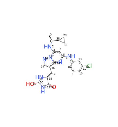 C[C@H](Nc1cc(Nc2cccc(Cl)c2)nc2c(/C=C3\NC(O)NC3=O)cnn12)C1CC1